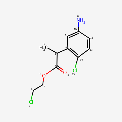 CC(C(=O)OCCCl)c1cc(N)ccc1Cl